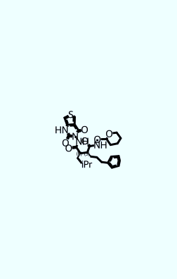 CC(C)C[C@@H](C(=O)Nn1c(=O)[nH]c2cscc2c1=O)[C@H](CCCc1ccccc1)C(=O)NOC1CCCCO1